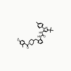 COc1ccc(C(=O)N2CCC(Cc3ccccc3NC(=O)Nc3cc(C(C)(C)C)nn3-c3ccc(C)cc3)CC2)c(C)c1